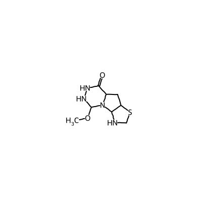 COC1NNC(=O)C2CC3SCNC3N12